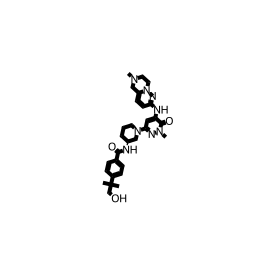 CN1CCN2N=C(Nc3cc(N4CCC[C@@H](NC(=O)c5ccc(C(C)(C)CO)cc5)C4)nn(C)c3=O)C=C=C2C1